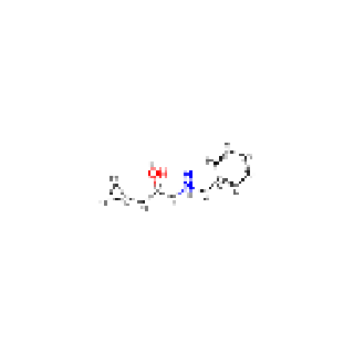 OC(CNCc1ccccc1)CC1CC1